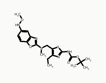 CCc1nc(NC(=O)OC(C)(C)C)sc1CN(C)c1nc2cc(NOC)ccc2o1